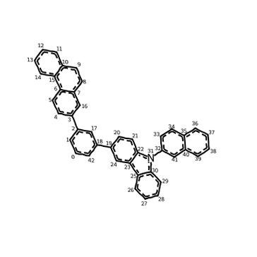 c1cc(-c2ccc3c(ccc4ccccc43)c2)cc(-c2ccc3c(c2)c2ccccc2n3-c2ccc3ccccc3c2)c1